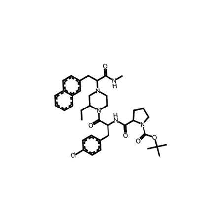 CCC1CN(C(Cc2ccc3ccccc3c2)C(=O)NC)CCN1C(=O)C(Cc1ccc(Cl)cc1)NC(=O)C1CCCN1C(=O)OC(C)(C)C